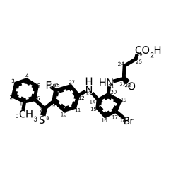 Cc1ccccc1C(=S)c1ccc(Nc2ccc(Br)cc2NC(=O)CCC(=O)O)cc1F